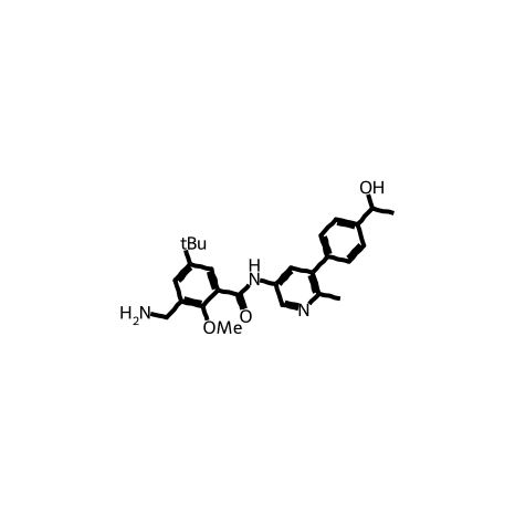 COc1c(CN)cc(C(C)(C)C)cc1C(=O)Nc1cnc(C)c(-c2ccc(C(C)O)cc2)c1